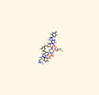 COC(=O)[C@@H]1CN(C(=O)OCc2ccccc2)CCN1C(=O)[C@@H]1C[C@H](Oc2cccc(-c3cccc4nn(CCCN)cc34)c2)CN1c1ncnc2c1cnn2-c1ccc(F)cc1F